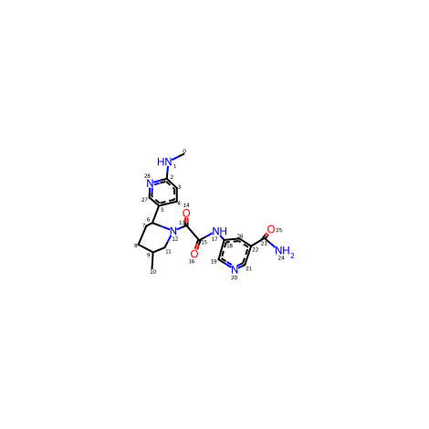 CNc1ccc(C2CCC(C)CN2C(=O)C(=O)Nc2cncc(C(N)=O)c2)cn1